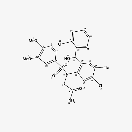 COc1ccc(S(=O)(=O)N(CC(N)=O)c2cc(Cl)c(Cl)cc2C(O)c2ccccc2Cl)cc1OC